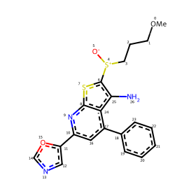 COCCC[S+]([O-])c1sc2nc(-c3cnco3)cc(-c3ccccc3)c2c1N